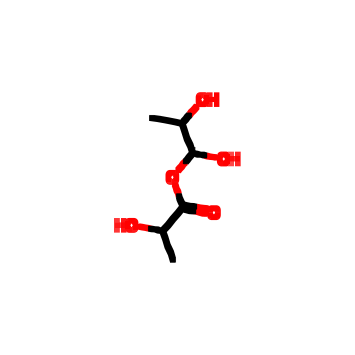 CC(O)[C](O)OC(=O)C(C)O